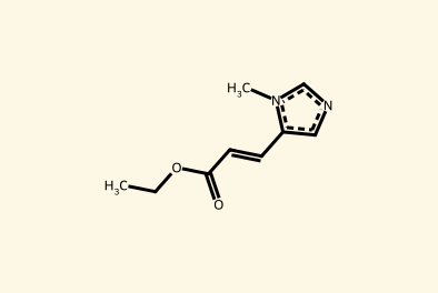 CCOC(=O)/C=C/c1cncn1C